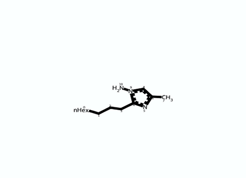 CCCCCCCCCc1nc(C)cn1N